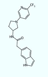 O=C(Cc1ccc2cc[nH]c2c1)NC1CCN(c2ccc(C(F)(F)F)nc2)C1